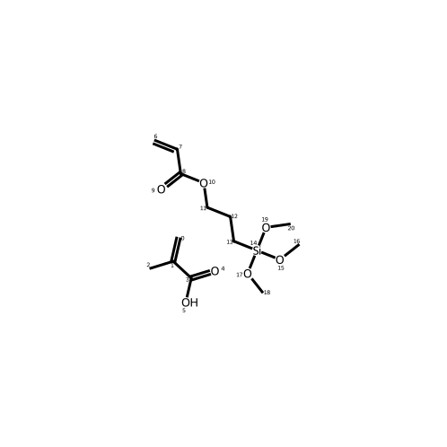 C=C(C)C(=O)O.C=CC(=O)OCCC[Si](OC)(OC)OC